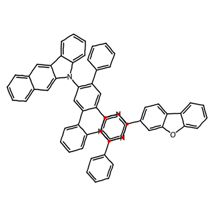 c1ccc(-c2nc(-c3ccc4c(c3)oc3ccccc34)nc(-c3cc(-c4ccccc4)c(-n4c5ccccc5c5cc6ccccc6cc54)cc3-c3ccccc3-c3ccccc3)n2)cc1